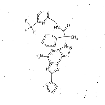 CC(C(=O)NCc1cccc(C(F)(F)F)n1)(c1ccccc1)n1ncc2c1nc(N)n1nc(-c3ccco3)nc21